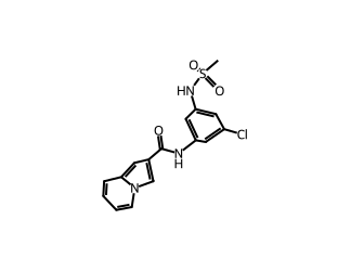 CS(=O)(=O)Nc1cc(Cl)cc(NC(=O)c2cc3ccccn3c2)c1